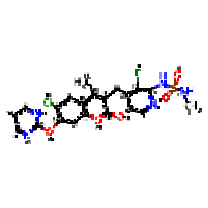 CNS(=O)(=O)Nc1nccc(Cc2c(C)c3cc(Cl)c(Oc4ncccn4)cc3oc2=O)c1F